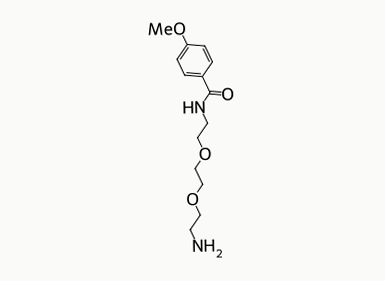 COc1ccc(C(=O)NCCOCCOCCN)cc1